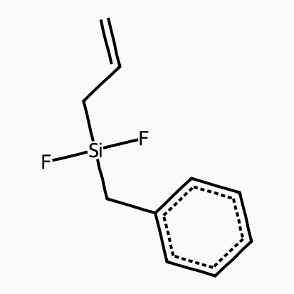 C=CC[Si](F)(F)Cc1ccccc1